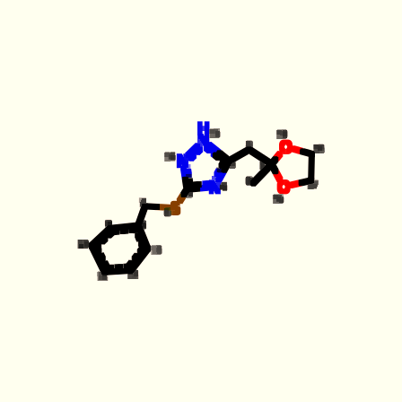 CC1(Cc2nc(SCc3ccccc3)n[nH]2)OCCO1